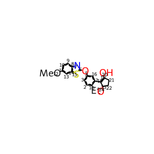 CCc1ccc(Oc2nc3ccc(OC)cc3s2)cc1C1=C(O)CCC1=O